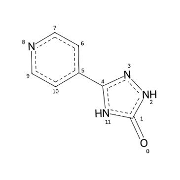 O=c1[nH]nc(-c2ccncc2)[nH]1